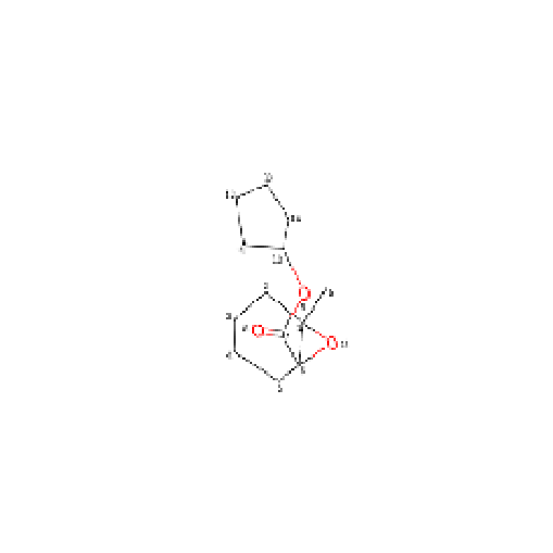 CC12CCCCC1(C(=O)OC1CCCC1)O2